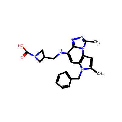 Cc1cc2c(cc(NCC3CN(C(=O)O)C3)c3nnc(C)n32)n1Cc1ccccc1